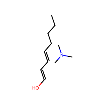 CCCCC=CC=CO.CN(C)C